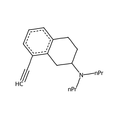 C#Cc1cccc2c1CC(N(CCC)CCC)CC2